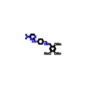 COc1cc(OC)c(OC)cc1CNC[C@H]1CC[C@@H](Nc2nccc(N(C)C)n2)CC1